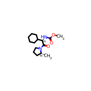 COC(=O)N[C@H](C(=O)N1CCC[C@H]1C)C1CCCCC1